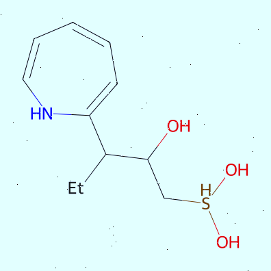 CCC(C1=CC=CC=CN1)C(O)C[SH](O)O